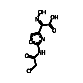 O=C(CCl)Nc1nc(C(=NO)C(=O)O)co1